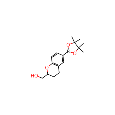 CC1(C)OB(c2ccc3c(c2)CCC(CO)O3)OC1(C)C